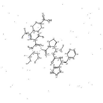 CC[C@H](C)[C@@H]([C@H](CC(=O)N1CCC[C@H]1[C@H](OC)[C@@H](C)C(=O)N[C@@H](Cc1ccccc1)c1nn[nH]n1)OC)N(C)C(=O)[C@@H](/N=C(/N(C)C)N1CCN(C(=O)O)CC1)C(C)C